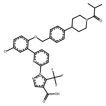 CC(C)C(=O)N1CCC(c2ccc(COc3ccc(Cl)cc3-c3cccc(-n4ncc(C(=O)O)c4C(F)(F)F)n3)cc2)CC1